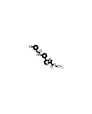 CCOC(=O)c1cnn2c(-c3cccc(NC(=O)Cc4cccc(Cl)c4)c3)ccnc12